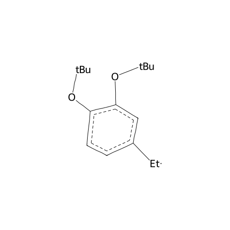 C[CH]c1ccc(OC(C)(C)C)c(OC(C)(C)C)c1